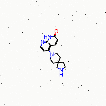 O=c1ccc2c(N3CCC4(CCNC4)CC3)ccnc2[nH]1